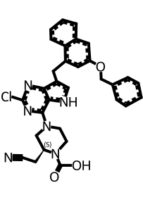 N#CC[C@H]1CN(c2nc(Cl)nc3c(Cc4cc(OCc5ccccc5)cc5ccccc45)c[nH]c23)CCN1C(=O)O